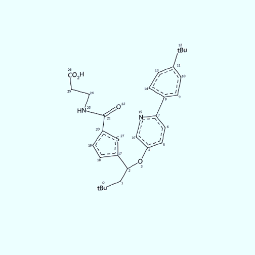 CC(C)(C)CC(Oc1ccc(-c2ccc(C(C)(C)C)cc2)nc1)c1ccc(C(=O)NCCC(=O)O)s1